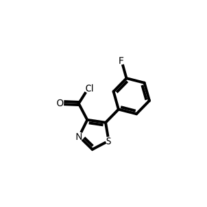 O=C(Cl)c1ncsc1-c1cccc(F)c1